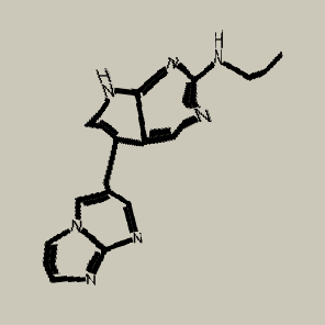 CCNc1ncc2c(-c3cnc4nccn4c3)c[nH]c2n1